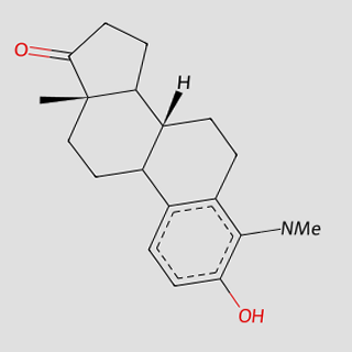 CNc1c(O)ccc2c1CC[C@@H]1C2CC[C@]2(C)C(=O)CCC12